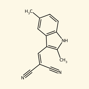 Cc1ccc2[nH]c(C)c(C=C(C#N)C#N)c2c1